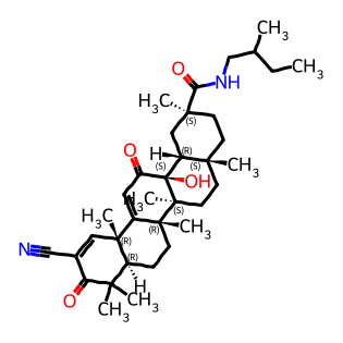 CCC(C)CNC(=O)[C@@]1(C)CC[C@]2(C)CC[C@@]3(C)[C@]4(C)CC[C@H]5C(C)(C)C(=O)C(C#N)=C[C@]5(C)C4=CC(=O)[C@]3(O)[C@@H]2C1